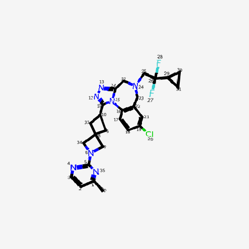 Cc1ccnc(N2CC3(CC(c4nnc5n4-c4ccc(Cl)cc4CN(CC(F)(F)C4CC4)C5)C3)C2)n1